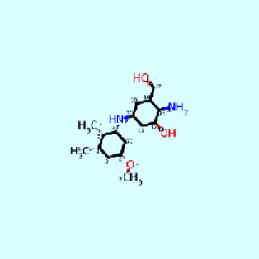 CO[C@@H]1C[C@H](C)[C@H](C)[C@H](NC2CC(O)C(N)C(CO)C2)C1